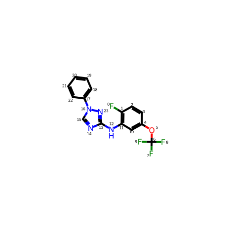 Fc1ccc(OC(F)(F)F)cc1Nc1ncn(-c2ccccc2)n1